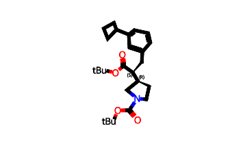 CC(C)(C)OC(=O)[C@@H](Cc1cccc(C2CCC2)c1)[C@H]1CCN(C(=O)OC(C)(C)C)C1